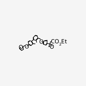 CCOC(=O)CC1(c2ccc(OCc3cccc(-c4ccc(OCC5CCCO5)cc4C)c3C)cc2)COC1